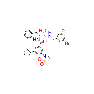 O=C(N[C@@H](Cc1ccccc1)[C@H](O)CNCc1cc(Br)cc(Br)c1)c1cc(C2CCCC2)cc(N2CCCS2(=O)=O)c1